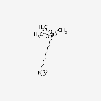 CCO[Si](CCCCCCCCCCC1=NCCO1)(OCC)OCC